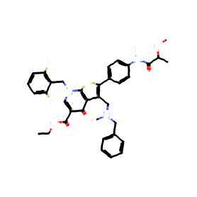 CCOC(=O)c1cn(Cc2c(F)cccc2F)c2sc(-c3ccc(NC(=O)C(C)OC)cc3)c(CN(C)Cc3ccccc3)c2c1=O